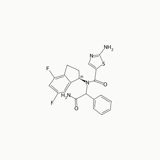 NC(=O)C(c1ccccc1)N(C(=O)c1cnc(N)s1)[C@@H]1CCc2c(F)cc(F)cc21